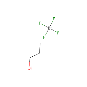 F[B-](F)(F)F.[CH2]CCO